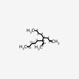 C=CCC(CCCC)[C](C=C)CCCCC